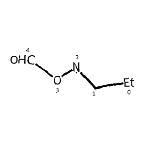 CCC[N]O[C]=O